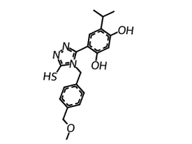 COCc1ccc(Cn2c(S)nnc2-c2cc(C(C)C)c(O)cc2O)cc1